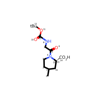 CC1CCN(C(=O)CNC(=O)OC(C)(C)C)[C@H](C(=O)O)C1